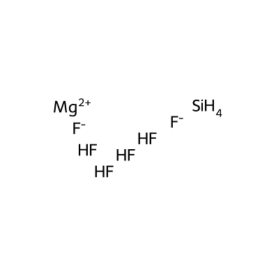 F.F.F.F.[F-].[F-].[Mg+2].[SiH4]